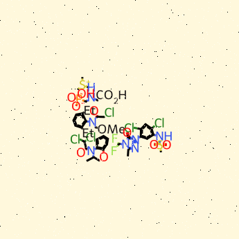 CC1COc2ccccc2N1C(=O)C(Cl)Cl.CCc1cccc(CC)c1N(COC)C(=O)CCl.C[S+](C)C.Cc1nn(-c2cc(NS(C)(=O)=O)c(Cl)cc2Cl)c(=O)n1C(F)F.O=C(O)CNCP(=O)([O-])O